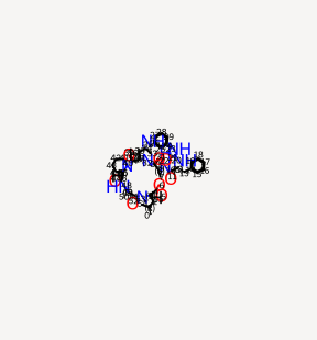 C[C@@H]1C[C@H]2C(=O)OC[C@H](NC(=O)[C@H](Cc3ccccc3)NC(=O)Nc3ccccc3)C(=O)N3CC(N)C[C@H]3C(=O)N3CCCC[C@H]3C(=O)N[C@@H](C)C(=O)N2C1